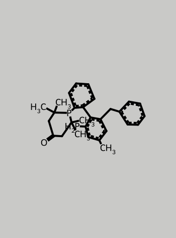 Cc1cc(P)c(-c2ccccc2P2C(C)(C)CC(=O)CC2(C)C)c(Cc2ccccc2)c1